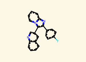 Fc1ccc(-c2nc3ccccn3c2-c2cnc3ccccc3c2)cc1